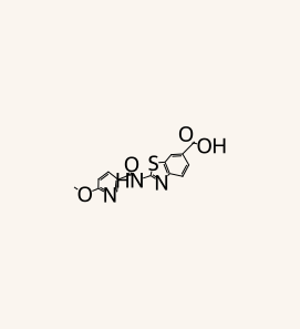 COc1ccc(C(=O)Nc2nc3ccc(C(=O)O)cc3s2)cn1